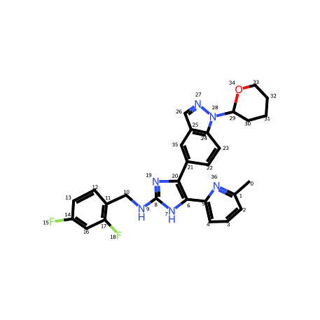 Cc1cccc(-c2[nH]c(NCc3ccc(F)cc3F)nc2-c2ccc3c(cnn3C3CCCCO3)c2)n1